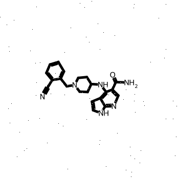 N#Cc1ccccc1CN1CCC(Nc2c(C(N)=O)cnc3[nH]ccc23)CC1